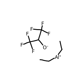 C[CH2][Al+][CH2]C.[O-]C(C(F)(F)F)C(F)(F)F